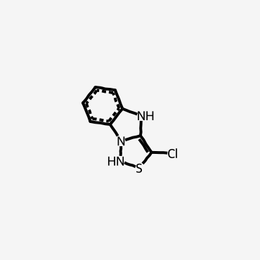 ClC1=C2Nc3ccccc3N2NS1